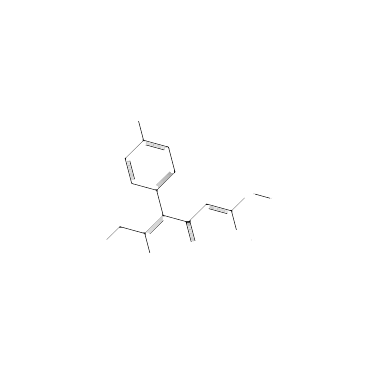 C=C(/C=C(\C)OC(F)(F)F)/C(=C(\C)CO)c1ccc(F)cc1